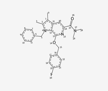 Cc1c(C)n(Cc2ccccc2)c2c(OCc3ccc(F)cc3)nc(C(=O)N(C)C)cc12